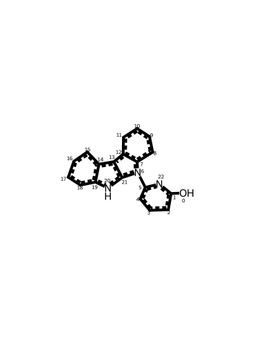 Oc1cccc(-n2c3ccccc3c3c4ccccc4[nH]c32)n1